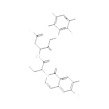 CCC(C(=O)NC(CC(=O)O)C(=O)COc1c(F)c(F)cc(F)c1F)n1ccc2cc(Cl)c(Cl)cc2c1=O